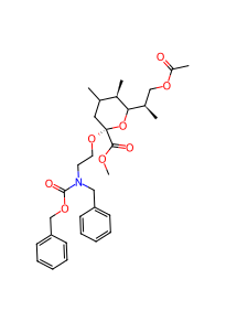 COC(=O)[C@@]1(OCCN(Cc2ccccc2)C(=O)OCc2ccccc2)CC(C)[C@@H](C)C([C@H](C)COC(C)=O)O1